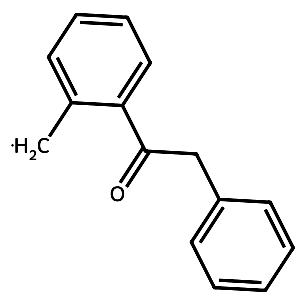 [CH2]c1ccccc1C(=O)Cc1ccccc1